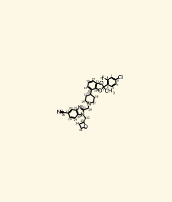 CC1(c2ccc(Cl)cc2F)Oc2cccc(C3CCN(Cc4nc5cc(C#N)ccc5n4C[C@@H]4CCO4)CC3)c2O1